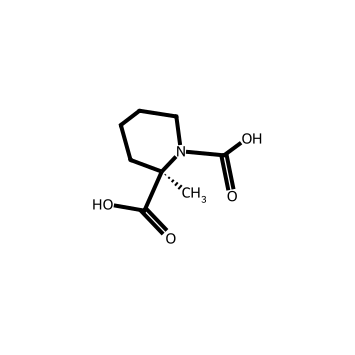 C[C@]1(C(=O)O)CCCCN1C(=O)O